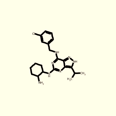 CC(C)c1[nH]nc2c(NCc3cccc(Cl)c3)nc(NC3CCCCC3N)nc12